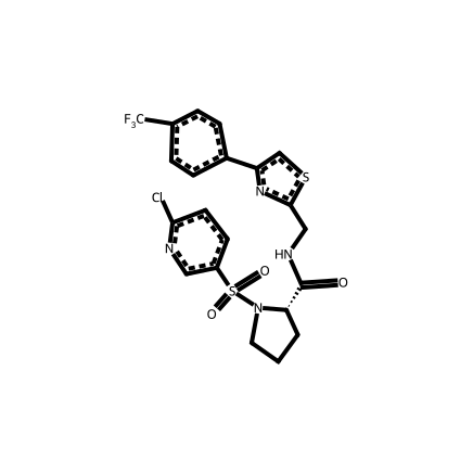 O=C(NCc1nc(-c2ccc(C(F)(F)F)cc2)cs1)[C@@H]1CCCN1S(=O)(=O)c1ccc(Cl)nc1